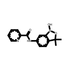 CC1(C)OB(O)c2cc(NC(=O)c3ccccn3)ccc21